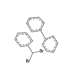 BrC(Br)c1ccccc1.c1ccc(-c2ccccc2)cc1